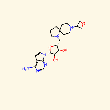 Nc1ncnc2c1ccn2[C@@H]1O[C@H](CN2CCCC23CCN(C2COC2)CC3)[C@@H](O)[C@H]1O